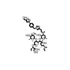 CC[C@@H](OC(=O)[C@H](C)[C@@H](O[C@H]1C[C@@](C)(OC)[C@@H](O)[C@H](C)O1)[C@H](C)[C@@H](O[C@@H]1O[C@H](C)C[C@H](N(C)CCc2cn(Cc3ccc(-n4cc(CO)nn4)cc3)nn2)[C@H]1O)[C@](C)(O)C[C@@H](C)CN(C)CC)[C@@](C)(O)CO